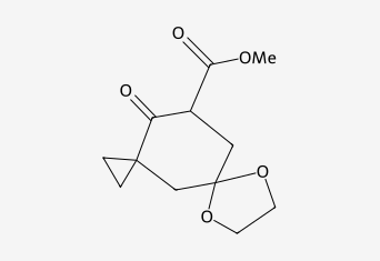 COC(=O)C1CC2(CC3(CC3)C1=O)OCCO2